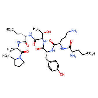 C[C@@H](NC(=O)[C@H](CCC(=O)O)NC(=O)[C@H](NC(=O)[C@@H](Cc1ccc(O)cc1)NC(=O)[C@@H](CCCN)NC(=O)[C@@H](N)CCC(=O)O)[C@@H](C)O)C(=O)N1CCC[C@H]1C(=O)O